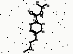 COCCC1=CCN(C(=O)OC(C)C)CC1